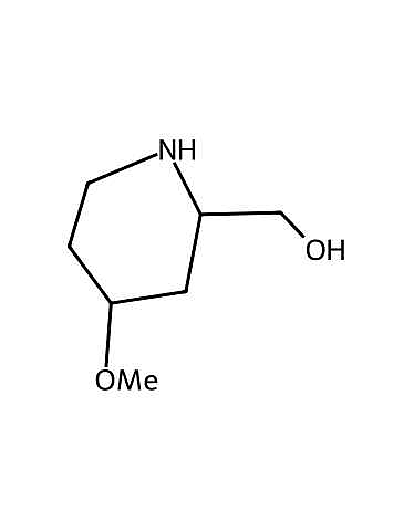 COC1CCNC(CO)C1